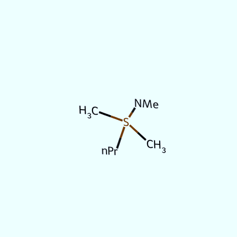 CCCS(C)(C)NC